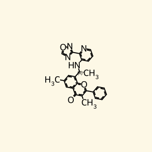 Cc1cc([C@@H](C)Nc2cccnc2-c2ncon2)c2oc(-c3ccccc3)c(C)c(=O)c2c1